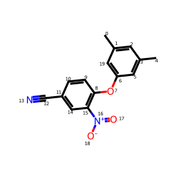 Cc1cc(C)cc(Oc2ccc(C#N)cc2[N+](=O)[O-])c1